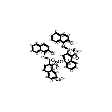 O=S(=O)([O-])c1c(/N=N/c2c(O)ccc3ccccc23)ccc2ccccc12.O=S(=O)([O-])c1c(/N=N/c2c(O)ccc3ccccc23)ccc2ccccc12.[Ca+2]